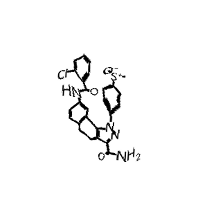 C[S+]([O-])c1ccc(-n2nc(C(N)=O)c3c2-c2cc(NC(=O)c4ccccc4Cl)ccc2CC3)cc1